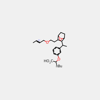 C/C=C/COCCC1C2CCC(O2)C1C(C)c1cccc(OC(CCCC)C(=O)O)c1